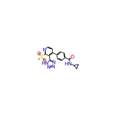 CS(=O)(=O)c1nccc(-c2ccc(C(=O)NC3CC3)cc2)c1-c1nnn[nH]1